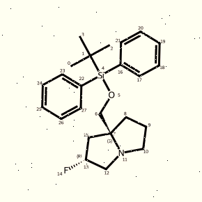 CC(C)(C)[Si](OC[C@@]12CCCN1C[C@H](F)C2)(c1ccccc1)c1ccccc1